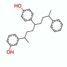 CC(CCC(CCC(C)c1cccc(O)c1)c1ccc(O)cc1)c1ccccc1